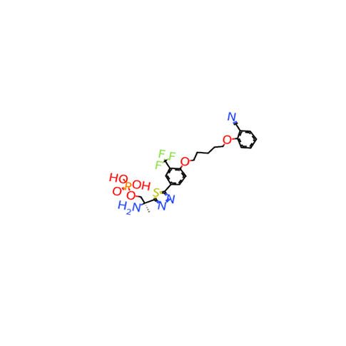 C[C@](N)(COP(=O)(O)O)c1nnc(-c2ccc(OCCCCCOc3ccccc3C#N)c(C(F)(F)F)c2)s1